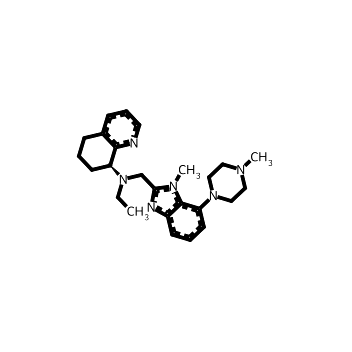 CCN(Cc1nc2cccc(N3CCN(C)CC3)c2n1C)[C@H]1CCCc2cccnc21